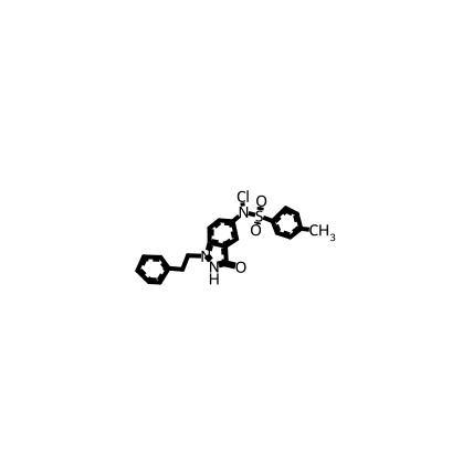 Cc1ccc(S(=O)(=O)N(Cl)c2ccc3c(c2)c(=O)[nH]n3CCc2ccccc2)cc1